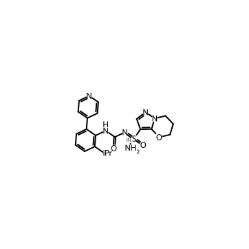 CC(C)c1cccc(-c2ccncc2)c1NC(=O)N=[S@](N)(=O)c1cnn2c1OCCC2